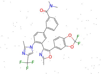 Cc1nc(-c2cc(-c3cccc(C(=O)N(C)C)c3)ccc2-n2cc(C(F)(F)F)nc2C)c(-c2ccc3c(c2)OC(F)(F)O3)o1